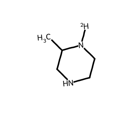 [2H]N1CCNCC1C